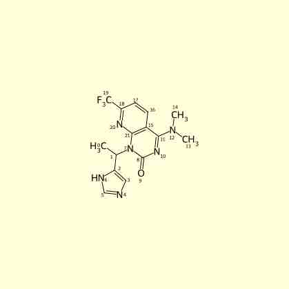 CC(c1cnc[nH]1)n1c(=O)nc(N(C)C)c2ccc(C(F)(F)F)nc21